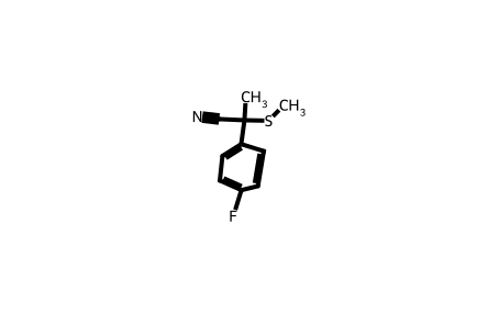 CSC(C)(C#N)c1ccc(F)cc1